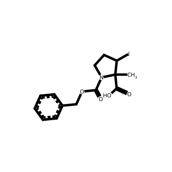 CC1(C(=O)O)C(I)CCN1C(=O)OCc1ccccc1